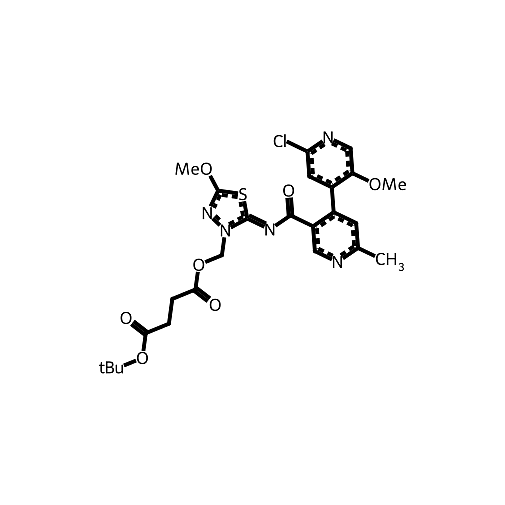 COc1nn(COC(=O)CCC(=O)OC(C)(C)C)/c(=N/C(=O)c2cnc(C)cc2-c2cc(Cl)ncc2OC)s1